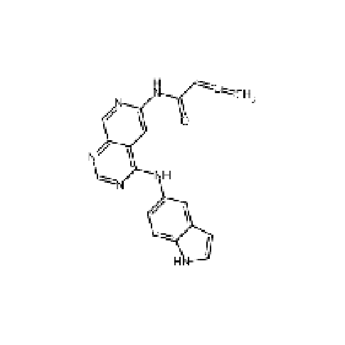 C=C=CC(=O)Nc1cc2c(Nc3ccc4[nH]ccc4c3)ncnc2cn1